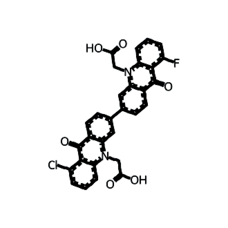 O=C(O)Cn1c2cc(-c3ccc4c(=O)c5c(Cl)cccc5n(CC(=O)O)c4c3)ccc2c(=O)c2c(F)cccc21